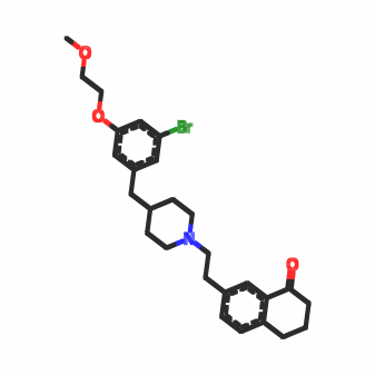 COCCOc1cc(Br)cc(CC2CCN(CCc3ccc4c(c3)C(=O)CCC4)CC2)c1